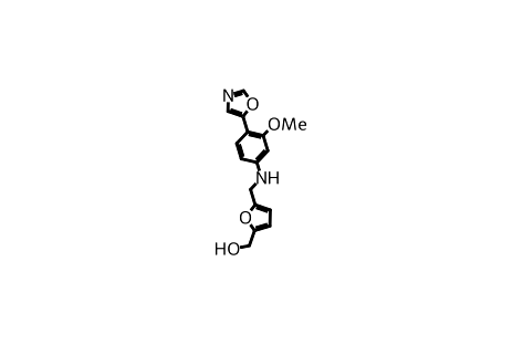 COc1cc(NCc2ccc(CO)o2)ccc1-c1cnco1